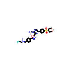 Nc1ncc(-c2ccc(S(=O)(=O)C3CCOCC3)cc2)nc1-c1nnc(-c2ccc(CNCCF)cc2)o1